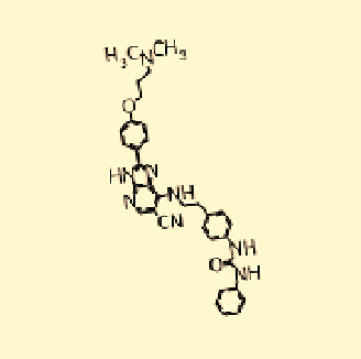 CN(C)CCCOc1ccc(-c2nc3c(NCCc4ccc(NC(=O)Nc5ccccc5)cc4)c(C#N)cnc3[nH]2)cc1